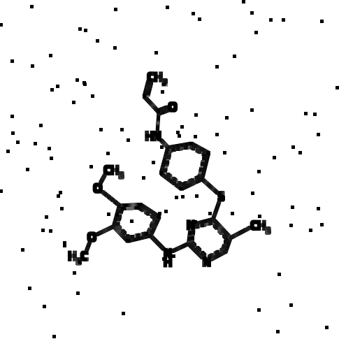 C=CC(=O)Nc1ccc(Sc2nc(Nc3ccc(OC)c(OC)c3)ncc2C)cc1